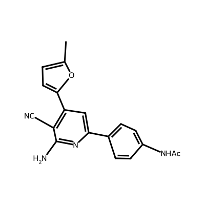 CC(=O)Nc1ccc(-c2cc(-c3ccc(C)o3)c(C#N)c(N)n2)cc1